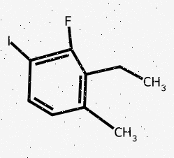 CCc1c(C)ccc(I)c1F